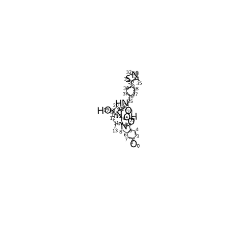 COc1ccc2c(c1)CN(C(C(C)C)C(O)N1C[C@H](O)C[C@H]1C(=O)NCc1ccc(-c3scnc3C)cc1)C2=O